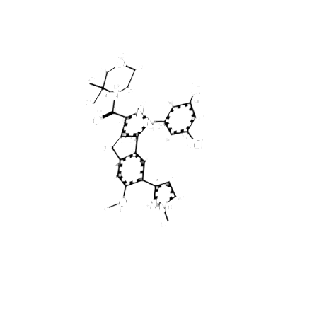 COc1cc2c(cc1-c1ccn(C)n1)-c1c(c(C(=O)N3CCOCC3(C)C)nn1-c1cc(Cl)cc(Cl)c1)C2